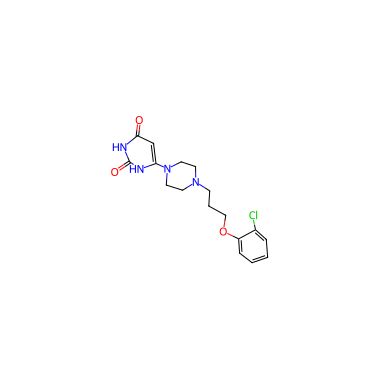 O=c1cc(N2CCN(CCCOc3ccccc3Cl)CC2)[nH]c(=O)[nH]1